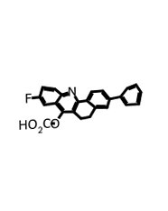 O=C(O)Oc1c2c(nc3ccc(F)cc13)-c1ccc(-c3ccccc3)cc1CC2